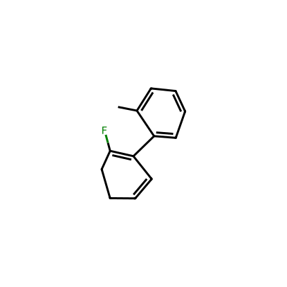 Cc1ccccc1C1=C(F)CCC=C1